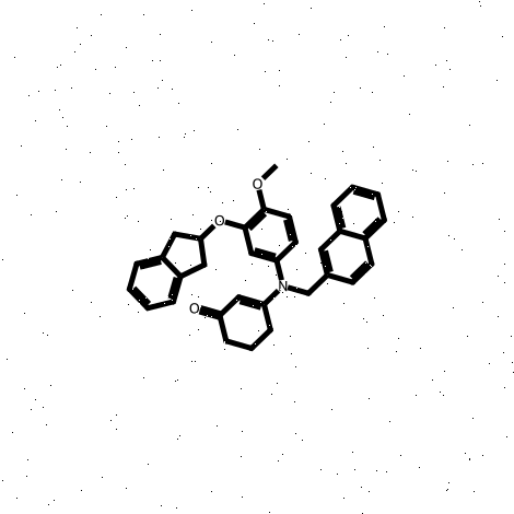 COc1ccc(N(Cc2ccc3ccccc3c2)C2=CC(=O)CCC2)cc1OC1Cc2ccccc2C1